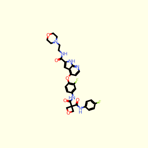 O=C(NCCN1CCOCC1)c1cc2c(Oc3ccc(NC(=O)C4(C(=O)Nc5ccc(F)cc5)COC4)cc3F)ccnc2[nH]1